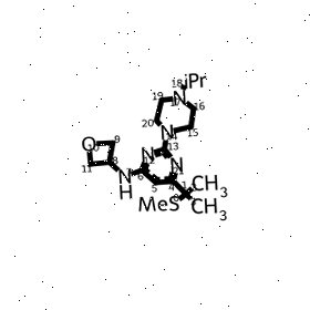 CSC(C)(C)c1cc(NC2COC2)nc(N2CCN(C(C)C)CC2)n1